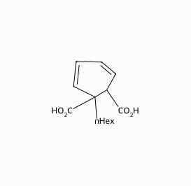 CCCCCCC1(C(=O)O)C=CC=CC1C(=O)O